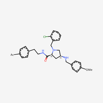 COc1ccc(CN[C@H]2C[C@@H](C(=O)NCCc3ccc(C(C)=O)cc3)N(Cc3ccccc3Cl)C2)cc1